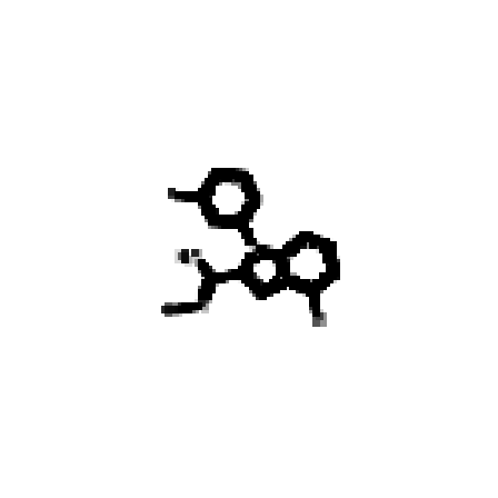 CC(=NO)c1cc2c(Cl)cccc2n1-c1cccc(F)c1